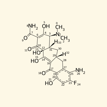 CN(C)[C@@H]1C(O)=C(C(N)=O)C(=O)[C@@]2(O)C(O)=C3C(=O)c4c(O)cc(F)c(N)c4C[C@H]3C[C@@H]12